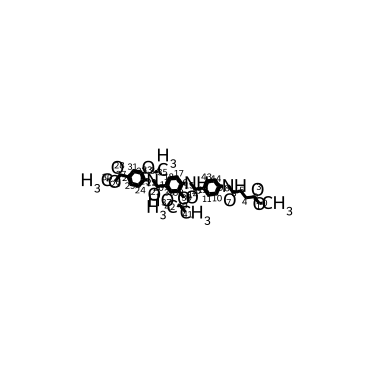 COC(=O)CCC(=O)Nc1ccc(C(=O)Nc2ccc(C(=O)N3c4ccc(C(=O)OC)cc4OC3C)c(O)c2OC(C)C)cc1